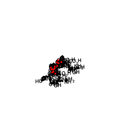 N=C(N)NCCC[C@H](NC(=O)[C@H](CC(=O)O)NC(=O)CNC(=O)[C@H](CO)NC(=O)[C@H](CCCCN)NC(=O)[C@@H]1CCCN1C(=O)[C@@H]1CCCN1C(=O)[C@H](CCC(=O)O)NC(=O)CNC(=O)[C@H](CO)NC(=O)[C@@H](N)CO)C(=O)N[C@@H](CO)C(=O)NCC(=O)N[C@@H](Cc1ccc(O)cc1)C(=O)N[C@@H](CO)C(=O)N[C@@H](CO)C(=O)N1CCC[C@H]1C(=O)NCC(=O)N[C@@H](CO)C(=O)N1CCC[C@H]1C(=O)O